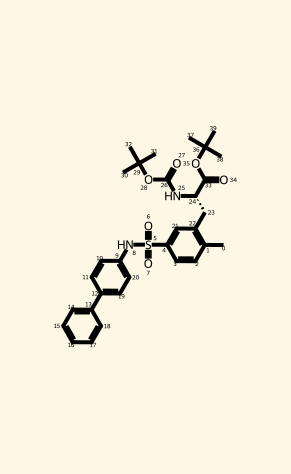 Cc1ccc(S(=O)(=O)Nc2ccc(-c3ccccc3)cc2)cc1C[C@H](NC(=O)OC(C)(C)C)C(=O)OC(C)(C)C